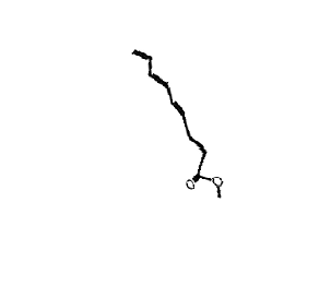 C=CC=CC=CCCC(=O)OC